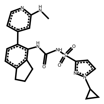 CNc1cc(-c2ccc3c(c2NC(=O)NS(=O)(=O)c2ccn(C4CC4)n2)CCC3)ccn1